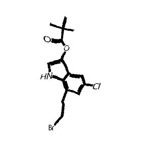 CC(C)(C)C(=O)Oc1c[nH]c2c(CCBr)cc(Cl)cc12